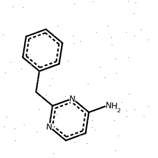 Nc1ccnc(Cc2ccccc2)n1